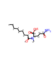 CCCCCCCCC(=O)N(C)C(CCC(N)=O)C(=O)O